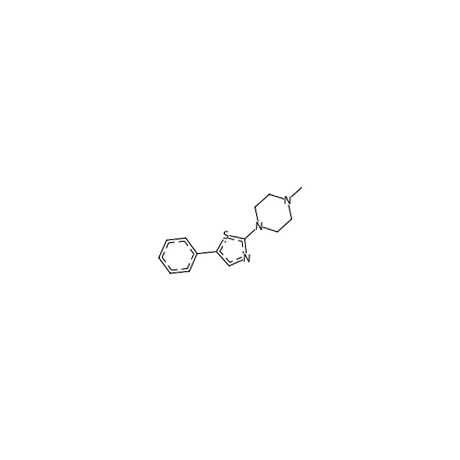 CN1CCN(c2ncc(-c3ccccc3)s2)CC1